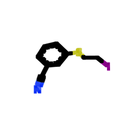 N#Cc1cccc(SCCI)c1